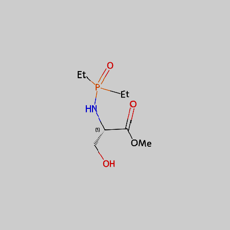 CCP(=O)(CC)N[C@@H](CO)C(=O)OC